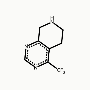 FC(F)(F)c1ncnc2c1CCNC2